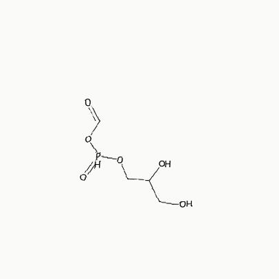 O=CO[PH](=O)OCC(O)CO